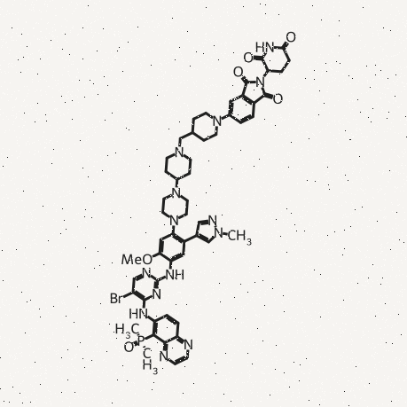 COc1cc(N2CCN(C3CCN(CC4CCN(c5ccc6c(c5)C(=O)N(C5CCC(=O)NC5=O)C6=O)CC4)CC3)CC2)c(-c2cnn(C)c2)cc1Nc1ncc(Br)c(Nc2ccc3nccnc3c2P(C)(C)=O)n1